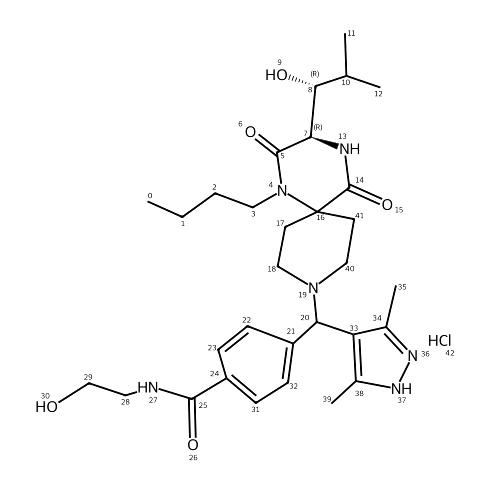 CCCCN1C(=O)[C@@H]([C@H](O)C(C)C)NC(=O)C12CCN(C(c1ccc(C(=O)NCCO)cc1)c1c(C)n[nH]c1C)CC2.Cl